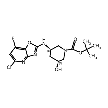 CC(C)(C)OC(=O)N1C[C@@H](O)C[C@@H](Nc2nc3nc(Cl)cc(F)c3o2)C1